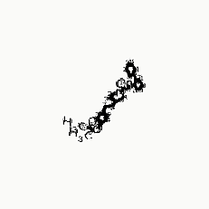 CC1Oc2ccc(CCC3CCN(C(=O)COc4ccccc4-c4ccccc4)CC3)cc2OC1C